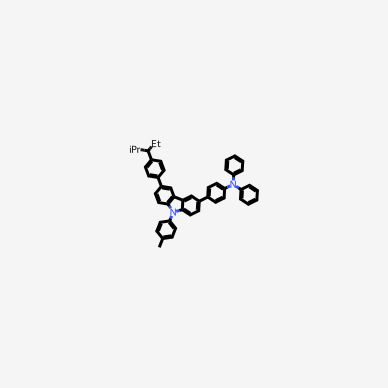 CCC(c1ccc(-c2ccc3c(c2)c2cc(-c4ccc(N(c5ccccc5)c5ccccc5)cc4)ccc2n3-c2ccc(C)cc2)cc1)C(C)C